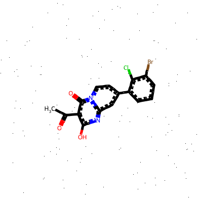 CC(=O)c1c(O)nc2cc(-c3cccc(Br)c3Cl)ccn2c1=O